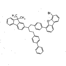 CC1(C)c2ccccc2-c2ccc(C(CCc3ccc(-c4ccccc4)cc3)Cc3ccc(-c4cccc5c4oc4c(Br)cccc45)cc3)cc21